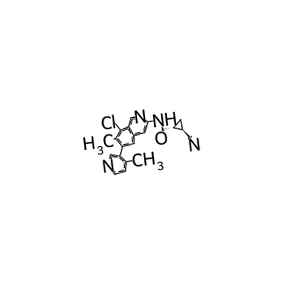 Cc1ccncc1-c1cc2cc(NC(=O)[C@@H]3C[C@H]3C#N)ncc2c(Cl)c1C